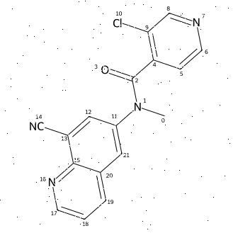 CN(C(=O)c1ccncc1Cl)c1cc(C#N)c2ncccc2c1